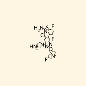 Nc1nc2c(-c3c(Cl)cc4c(N5CCC6(CCN6)C5)nc(OC[C@@]56CCCN5C[C@H](F)C6)nc4c3F)ccc(F)c2s1